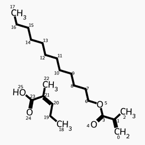 C=C(C)C(=O)OCCCCCCCCCCCC.CCC=C(C)C(=O)O